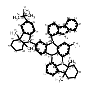 Cc1cc2c3c(c1)N1c4c(cccc4C4(C)CCCCC14C)B3c1ccc(N3c4ccc(C(C)(C)C)cc4C4(C)CCCCC34C)cc1N2c1cccc2c1sc1ccccc12